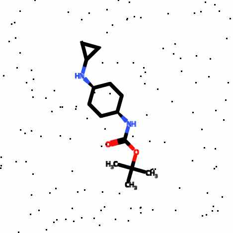 CC(C)(C)OC(=O)N[C@H]1CC[C@@H](NC2CC2)CC1